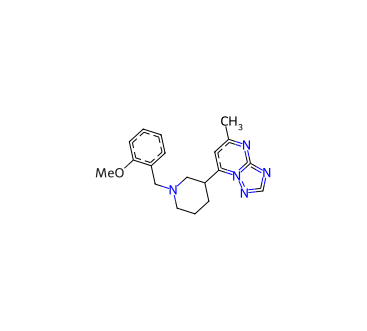 COc1ccccc1CN1CCCC(c2cc(C)nc3ncnn23)C1